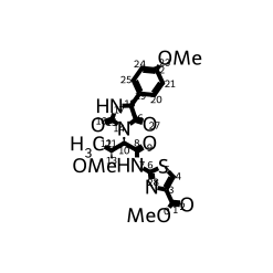 COC(=O)c1csc(NC(=O)[C@H]([C@@H](C)OC)N2C(=O)NC(c3ccc(OC)cc3)C2=O)n1